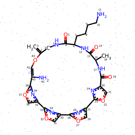 C=C1CNC(=O)C(CCCCN)NC(=O)C(C)NC(=O)c2coc(n2)-c2coc(n2)-c2coc(n2)-c2coc(n2)/C(N)=C/O1